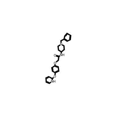 O=C(COc1ccc(OC2C=CC=CN2)cc1)NC1CCN(Cc2ccccc2)CC1